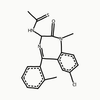 CC(=S)NC1N=C(c2ccccc2C)c2cc(Cl)ccc2N(C)C1=O